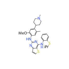 COc1cc(C2CCN(C)CC2)c(C)cc1Nc1nc(Nc2ccccc2SC(C)C)c2sccc2n1